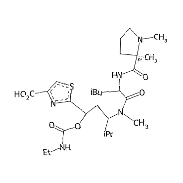 CCNC(=O)OC(CC(C(C)C)N(C)C(=O)C(NC(=O)[C@@]1(C)CCCN1C)C(C)CC)c1nc(C(=O)O)cs1